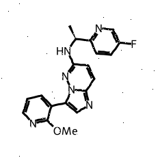 COc1ncccc1-c1cnc2ccc(N[C@@H](C)c3ccc(F)cn3)nn12